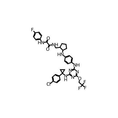 O=C(NCC1CCCC1Nc1ccc(Nc2nc(NC3(c4ccc(Cl)cc4)CC3)nc(OCC(F)(F)F)n2)cc1)C(=O)Nc1ccc(F)cc1